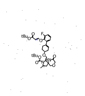 C[C@@H]1CC2(COCC(=O)N2)C(COC2CC=C(c3cccc(F)c3O/C=C/C(=O)OC(C)(C)C)CC2)N1C(=O)OC(C)(C)C